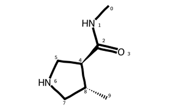 CNC(=O)[C@@H]1CNC[C@H]1C